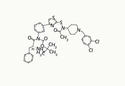 CC(=O)N(Sc1nc(-c2cccc(N(C(=O)OC(C)(C)C)C(=O)[C@H](N)Cc3ccccc3)c2)cs1)C1CCN(Cc2ccc(Cl)c(Cl)c2)CC1